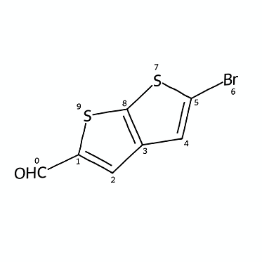 O=Cc1cc2cc(Br)sc2s1